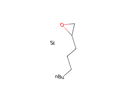 CCCCCCCC1CO1.[Si]